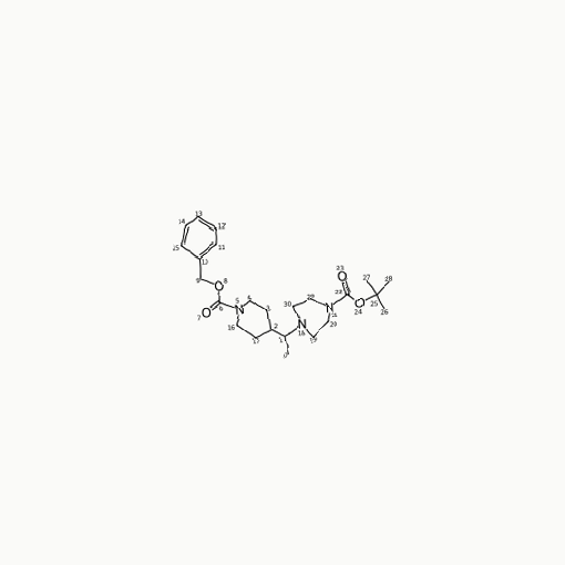 CC(C1CCN(C(=O)OCc2ccccc2)CC1)N1CCN(C(=O)OC(C)(C)C)CC1